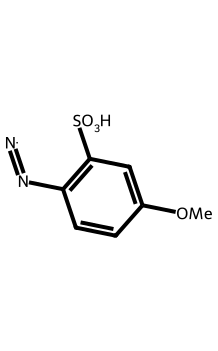 COc1ccc(N=[N])c(S(=O)(=O)O)c1